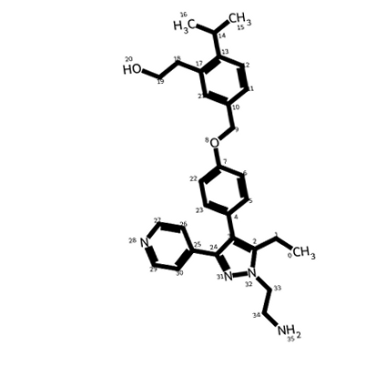 CCc1c(-c2ccc(OCc3ccc(C(C)C)c(CCO)c3)cc2)c(-c2ccncc2)nn1CCN